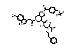 CNC(=O)[C@H](CCCc1ccccc1)NC(=O)C1CN(C(=O)Cc2c[nH]c3cc(Cl)ccc23)CC2CN(C(=O)c3ccc(OC(F)(F)F)cc3)CC21